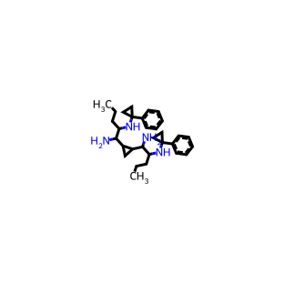 CCCC(NC1(c2ccccc2)CC1)C(N)C1CC1C(N)C(CCC)NC1(c2ccccc2)CC1